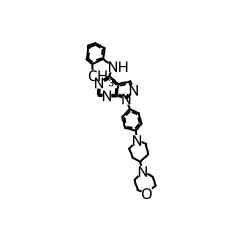 Cc1ccccc1Nc1ncnc2c1cnn2-c1ccc(N2CCC(N3CCOCC3)CC2)cc1